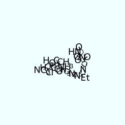 CCC1(CN2CCN(c3ccc(C(=O)N[C@H]4C(C)(C)[C@H](Oc5ccc(C#N)c(Cl)c5)C4(C)C)cc3)CC2)CCN(c2ccc3c(c2)C(=O)N(C2CCC(=O)NC2=O)C3=O)CC1